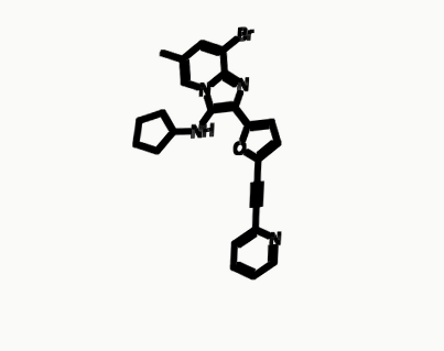 Cc1cc(Br)c2nc(-c3ccc(C#Cc4ccccn4)o3)c(NC3CCCC3)n2c1